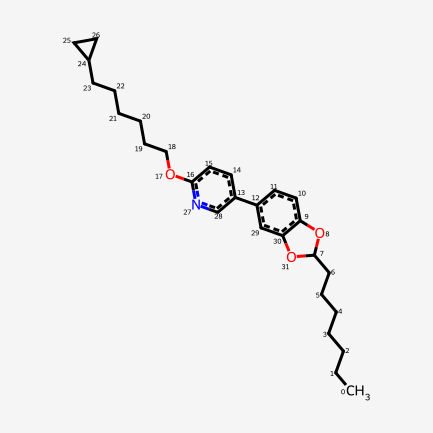 CCCCCCCC1Oc2ccc(-c3ccc(OCCCCCCC4CC4)nc3)cc2O1